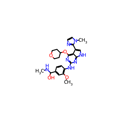 CNC(O)c1ccc(Nc2nc(OC3CCOCC3)c3c(-c4nccn4C)c[nH]c3n2)c(OC)c1